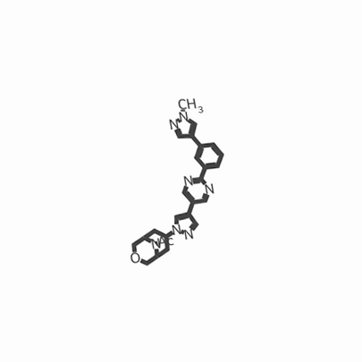 CC(=O)N1C2COCC1CC(n1cc(-c3cnc(-c4cccc(-c5cnn(C)c5)c4)nc3)cn1)C2